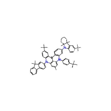 Cc1cc2c3c(c1)N(c1ccc(C(C)(C)C)cc1)c1cc(N4c5ccc(C(C)(C)C)cc5C5(C)CCCCC45C)ccc1B3c1cc(C(C)(C)C)ccc1N2c1ccc2c(c1)C(C)(C)c1ccccc1-2